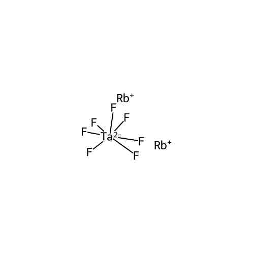 [F][Ta-2]([F])([F])([F])([F])([F])[F].[Rb+].[Rb+]